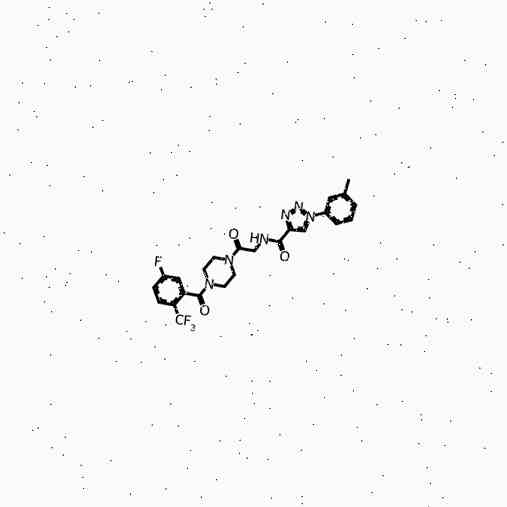 Cc1cccc(-n2cc(C(=O)NCC(=O)N3CCN(C(=O)c4cc(F)ccc4C(F)(F)F)CC3)nn2)c1